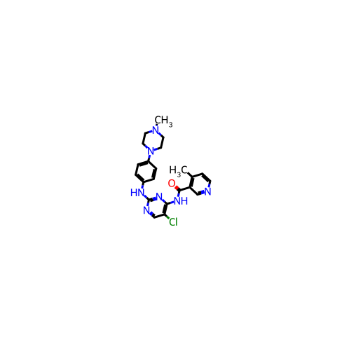 Cc1ccncc1C(=O)Nc1nc(Nc2ccc(N3CCN(C)CC3)cc2)ncc1Cl